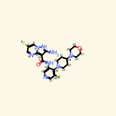 Nc1nn2cc(F)cnc2c1C(=O)Nc1cncc(F)c1N1CCC(N2CCOCC2)CC1